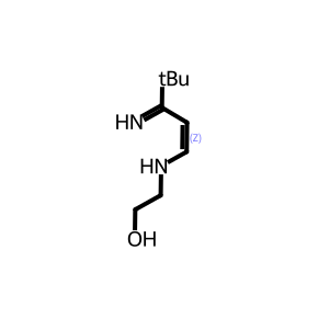 CC(C)(C)C(=N)/C=C\NCCO